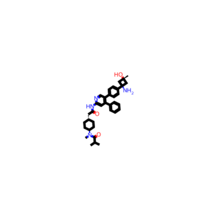 CC(C)C(=O)N(C)[C@H]1CC[C@H](CC(=O)Nc2cc(-c3ccccc3)c(-c3ccc([C@]4(N)C[C@](C)(O)C4)cc3)cn2)CC1